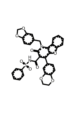 O=C(NS(=O)(=O)c1ccccc1)c1c(-c2ccc3c(c2)OCCO3)c2oc3ccccc3c2n(Cc2ccc3c(c2)OCO3)c1=O